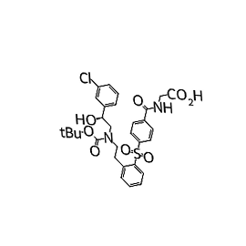 CC(C)(C)OC(=O)N(CCc1ccccc1S(=O)(=O)c1ccc(C(=O)NCC(=O)O)cc1)C[C@@H](O)c1cccc(Cl)c1